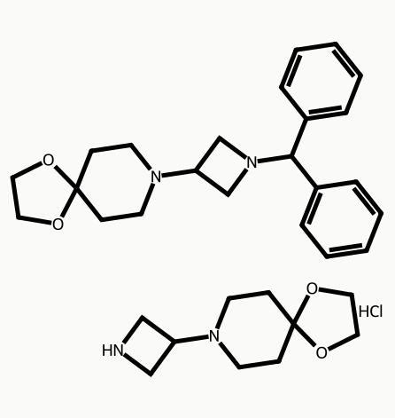 C1COC2(CCN(C3CNC3)CC2)O1.Cl.c1ccc(C(c2ccccc2)N2CC(N3CCC4(CC3)OCCO4)C2)cc1